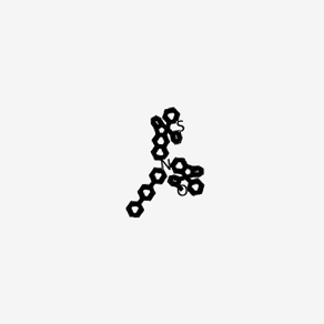 c1ccc(-c2ccc(-c3ccc(N(c4ccc5c(c4)C4(c6ccccc6Oc6ccccc64)c4ccccc4-5)c4ccc5cc6c(cc5c4)C4(c5ccccc5Sc5ccccc54)c4ccccc4-6)cc3)cc2)cc1